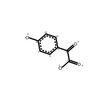 O=C(Cl)C(=O)c1ccc(Cl)cc1